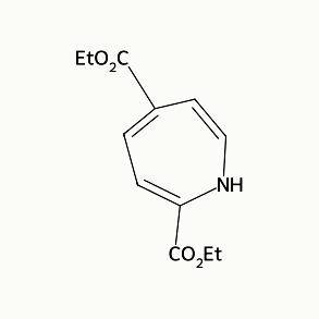 CCOC(=O)C1=CC=C(C(=O)OCC)NC=C1